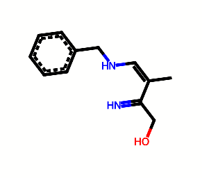 C/C(=C/NCc1ccccc1)C(=N)CO